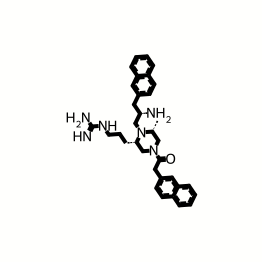 C[C@@H]1CN(C(=O)Cc2ccc3ccccc3c2)C[C@H](CCCNC(=N)N)N1C[C@@H](N)Cc1ccc2ccccc2c1